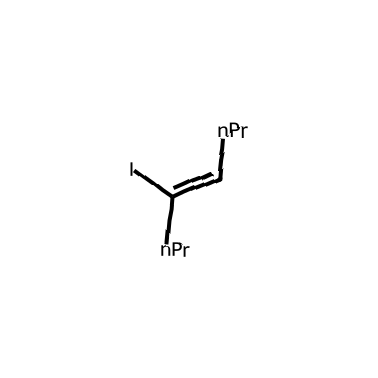 CCC/C=C(\I)CCC